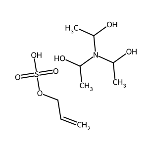 C=CCOS(=O)(=O)O.CC(O)N(C(C)O)C(C)O